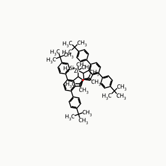 CC(C)C1=Cc2c(-c3ccc(C(C)(C)C)cc3)ccc(-c3ccc(C(C)(C)C)cc3)c2[CH]1[Zr]([CH3])([CH3])(=[SiH2])[CH]1C(C(C)C)=Cc2c(-c3ccc(C(C)(C)C)cc3)ccc(-c3ccc(C(C)(C)C)cc3)c21